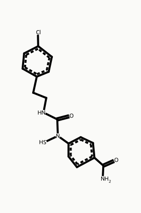 NC(=O)c1ccc(N(S)C(=O)NCCc2ccc(Cl)cc2)cc1